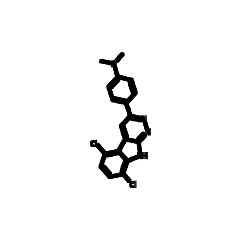 CN(C)c1ccc(-c2cc3c(nn2)[nH]c2c(Cl)ccc(Cl)c23)cc1